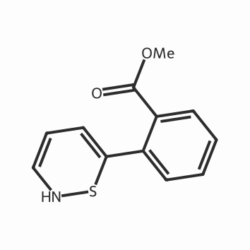 COC(=O)c1ccccc1C1=CC=CNS1